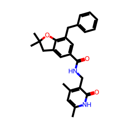 Cc1cc(C)c(CNC(=O)c2cc(Cc3ccccc3)c3c(c2)CC(C)(C)O3)c(=O)[nH]1